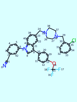 N#Cc1cccc(-n2cc(-c3ccc(OC(F)(F)F)cc3)c3cc(CN4CCN(Cc5ccccc5Cl)CC4)ccc32)c1